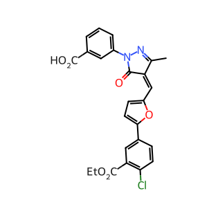 CCOC(=O)c1cc(-c2ccc(/C=C3\C(=O)N(c4cccc(C(=O)O)c4)N=C3C)o2)ccc1Cl